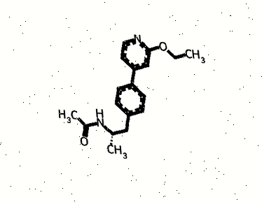 CCOc1cc(-c2ccc(C[C@H](C)NC(C)=O)cc2)ccn1